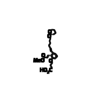 COC(=O)/C=C/c1c(C#CCCCCOC2CCCCO2)cccc1OCCCC(=O)O